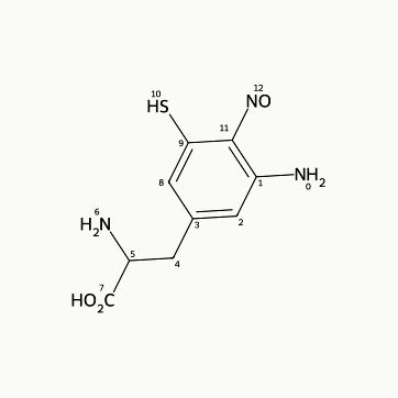 Nc1cc(CC(N)C(=O)O)cc(S)c1N=O